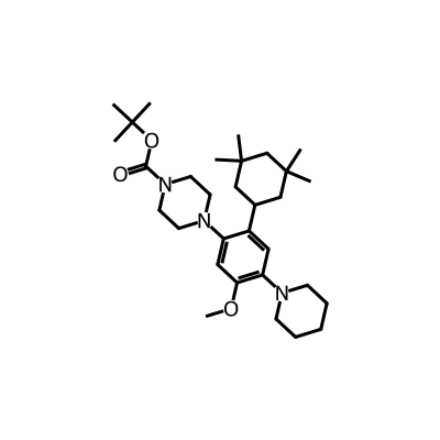 COc1cc(N2CCN(C(=O)OC(C)(C)C)CC2)c(C2CC(C)(C)CC(C)(C)C2)cc1N1CCCCC1